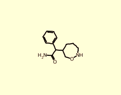 NC(=O)C(c1ccccc1)C1CCCNOC1